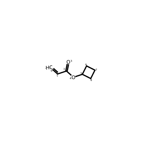 [CH]=CC(=O)OC1CCC1